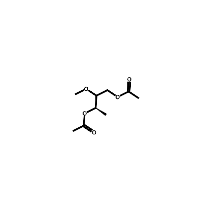 COC(COC(C)=O)[C@@H](C)OC(C)=O